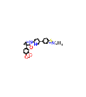 CNSc1ccc(-c2ccc(NC(=O)C3(c4ccc5c(c4)OCO5)CC3)nc2)cc1